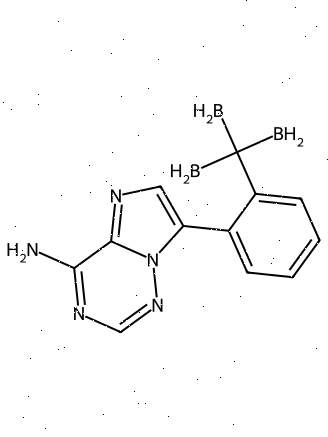 BC(B)(B)c1ccccc1-c1cnc2c(N)ncnn12